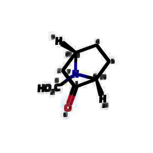 O=C1C[C@@H]2CC[C@H]1N2C(=O)O